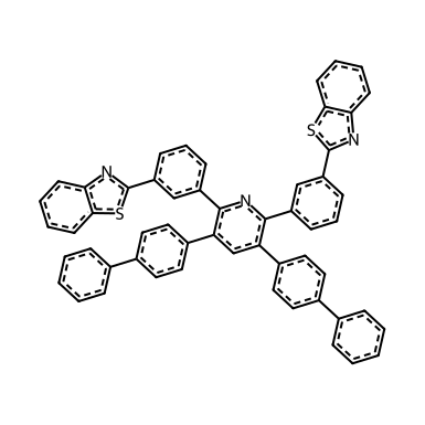 c1ccc(-c2ccc(-c3cc(-c4ccc(-c5ccccc5)cc4)c(-c4cccc(-c5nc6ccccc6s5)c4)nc3-c3cccc(-c4nc5ccccc5s4)c3)cc2)cc1